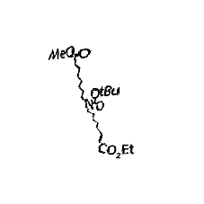 CCOC(=O)/C=C/CCCCCN(CCCCCCCC(=O)OC)C(=O)OC(C)(C)C